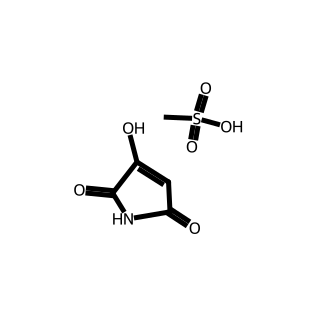 CS(=O)(=O)O.O=C1C=C(O)C(=O)N1